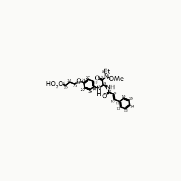 CCN(OC)C(=O)C(NC(=O)C=Cc1ccccc1)Nc1ccc(OCCCC(=O)O)cc1